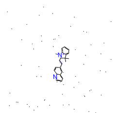 C[N+]1=C(/C=C/c2ccc3ncccc3c2)C(C)(C)c2ccccc21